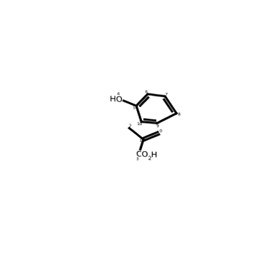 C=C(C)C(=O)O.Oc1ccccc1